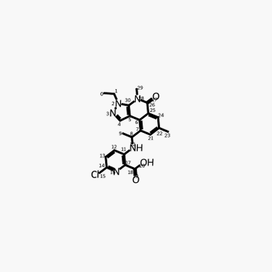 CCn1ncc2c3c(C(C)Nc4ccc(Cl)nc4C(=O)O)cc(C)cc3c(=O)n(C)c21